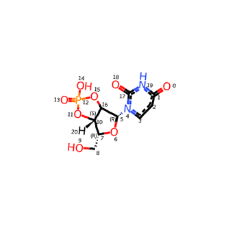 O=c1ccn([C@@H]2O[C@H](CO)[C@@H]3OP(=O)(O)OC32)c(=O)[nH]1